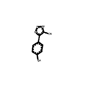 N#Cc1[nH]nnc1-c1ccc(S)cc1